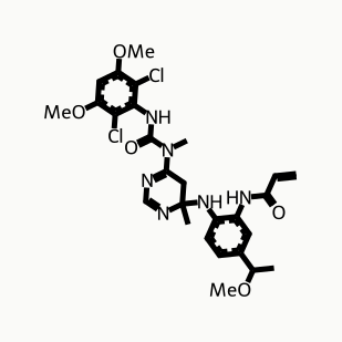 C=CC(=O)Nc1cc(C(C)OC)ccc1NC1(C)CC(N(C)C(=O)Nc2c(Cl)c(OC)cc(OC)c2Cl)=NC=N1